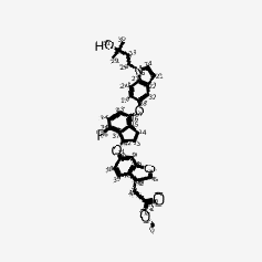 COC(=O)C[C@@H]1COc2cc(O[C@@H]3CCc4c(Oc5ccc6c(ccn6CCC(C)(C)O)c5)ccc(F)c43)ccc21